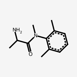 Cc1cccc(C)c1N(C)C(=O)C(C)N